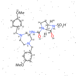 COc1ccc(CN2CCN(Cc3ccc(OC)cc3)CC(NC(=O)N3CC[C@@H]4[C@H]3C(=O)N4S(=O)(=O)O)C2)cc1